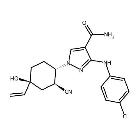 C=C[C@]1(O)CC[C@H](n2cc(C(N)=O)c(Nc3ccc(Cl)cc3)n2)[C@@H](C#N)C1